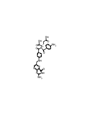 Nc1ccc(C(=O)N(C(=O)c2ccc(NCc3cnc4nc(N)[nH]c(=O)c4n3)cc2)[C@@H](CCC(=O)O)C(=O)O)cc1